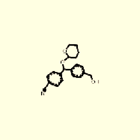 N#Cc1ccc(C(OC2CCCCO2)c2ccc(CO)cc2)cc1